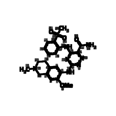 COc1cc2c(cc1Nc1nnc(C(N)=O)c(Nc3ccccc3S(C)(=O)=O)n1)CCN(C)C2